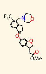 COC(=O)CC1COc2cc(O[C@@H]3CCc4c3ccc(C(F)(F)F)c4CN3CCOCC3)ccc21